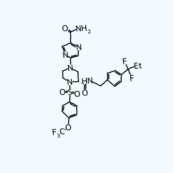 CCC(F)(F)c1ccc(CNC(=O)[C@H]2CN(c3cnc(C(N)=O)cn3)CCN2S(=O)(=O)c2ccc(OC(F)(F)F)cc2)cc1